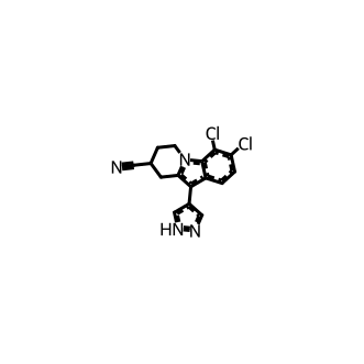 N#CC1CCn2c(c(-c3cn[nH]c3)c3ccc(Cl)c(Cl)c32)C1